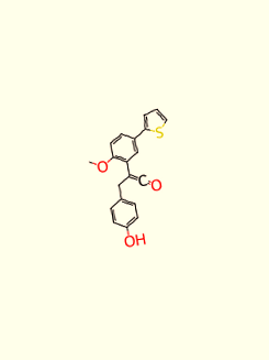 COc1ccc(-c2cccs2)cc1C(=C=O)Cc1ccc(O)cc1